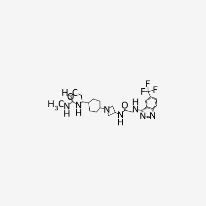 CC[C@H](NC(=O)NC)C1CCC(N2CC(NC(=O)CNc3ncnc4ccc(C(F)(F)F)cc34)C2)CC1